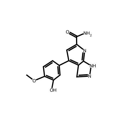 COc1ccc(-c2cc(C(N)=O)nc3[nH]ncc23)cc1O